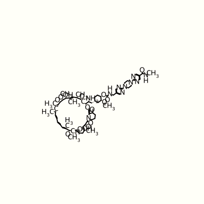 CNC(=O)c1cnc(N2CCN(c3ncc(CNC(=O)O[C@@H]4CC[C@@H](C[C@@H](N)[C@@H]5CC(=O)[C@H](C)/C=C(\C)[C@@H](O)[C@@H](OC)C(=O)[C@H](C)C[C@H](C)/C=C/C=C/C=C(\C)[C@@H](OC)C[C@@H]6CC[C@@H](C)[C@@](O)(O6)C(=O)C(=O)N6CCCC[C@H]6C(=O)O5)C[C@H]4OC)cn3)CC2)nc1